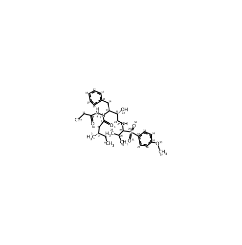 CC[C@H](C)CC(=O)N(NC(=O)CCl)[C@@H](Cc1ccccc1)[C@H](O)CNC(C(C)C)S(=O)(=O)c1ccc(OC)cc1